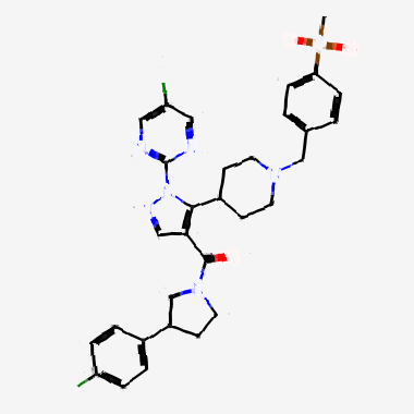 CS(=O)(=O)c1ccc(CN2CCC(c3c(C(=O)N4CCC(c5ccc(F)cc5)C4)cnn3-c3ncc(F)cn3)CC2)cc1